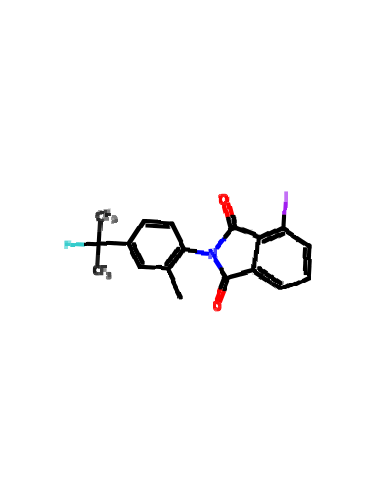 Cc1cc(C(F)(C(F)(F)F)C(F)(F)F)ccc1N1C(=O)c2cccc(I)c2C1=O